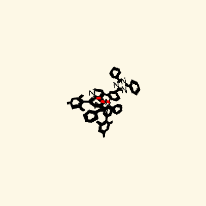 Cc1cc(C)c(-c2ccc3c(c2)c2cc(-c4c(C)cc(C)cc4C)ccc2n3-c2ccc(-c3nc(-c4ccccc4)nc(-c4ccccc4)n3)cc2-c2ccncc2-c2nc(-c3ccccc3)nc(-c3ccccc3)n2)c(C)c1